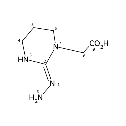 N/N=C1\NCCCN1CC(=O)O